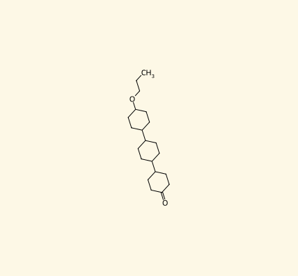 CCCOC1CCC(C2CCC(C3CCC(=O)CC3)CC2)CC1